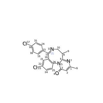 Cc1cc(=O)n2c(n1)C(C)C/N=C(/c1ccc(Cl)cc1)c1cc(Cl)ccc1-2